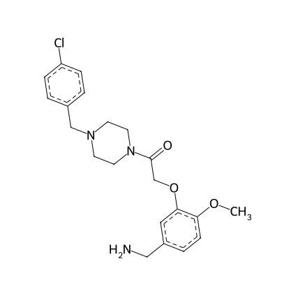 COc1ccc(CN)cc1OCC(=O)N1CCN(Cc2ccc(Cl)cc2)CC1